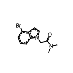 CN(C)C(=O)Cn1ccc2c(Br)cccc21